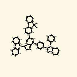 CC1(C)c2ccccc2-c2ccc(-c3cn4c(-n5c6ccccc6c6ccccc65)cnc4c(-c4ccc(-c5nc6ccccc6n5-c5ccccc5)cc4)n3)cc21